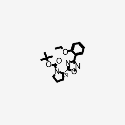 CCOc1ccccc1-c1noc([C@@H]2CCCN2C(=O)OC(C)(C)C)n1